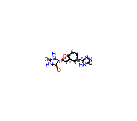 O=C1NC(=O)[C@H](c2cc3cc(-c4nnc[nH]4)ccc3o2)N1